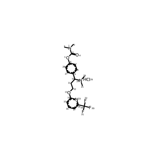 CN(C)C(=O)Oc1ccc(C(CCOc2cccc(C(F)(F)F)n2)N(C)C)cc1.Cl